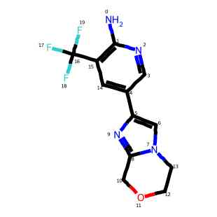 Nc1ncc(-c2cn3c(n2)COCC3)cc1C(F)(F)F